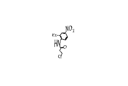 CCc1cc([N+](=O)[O-])ccc1NC(=O)CCCl